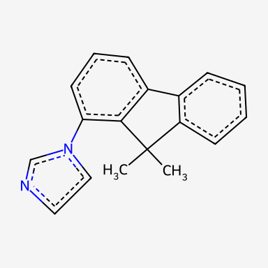 CC1(C)c2ccccc2-c2cccc(-n3ccnc3)c21